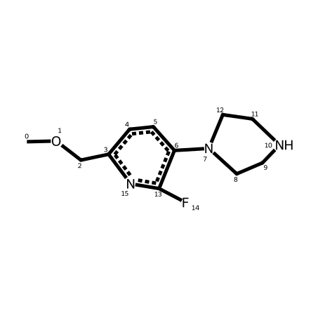 COCc1ccc(N2CCNCC2)c(F)n1